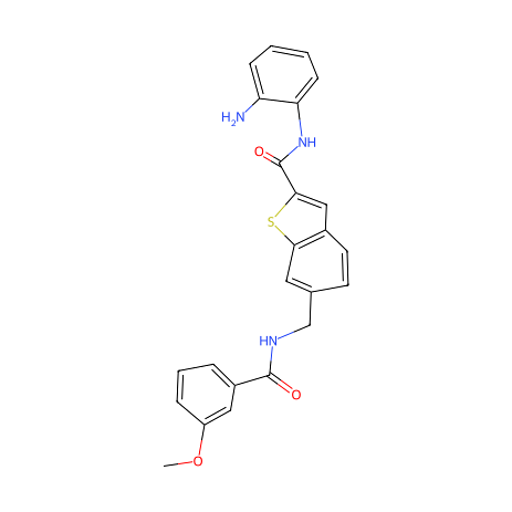 COc1cccc(C(=O)NCc2ccc3cc(C(=O)Nc4ccccc4N)sc3c2)c1